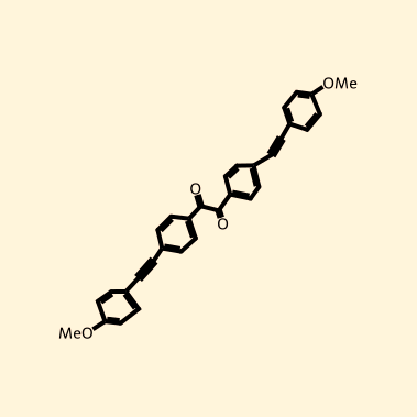 COc1ccc(C#Cc2ccc(C(=O)C(=O)c3ccc(C#Cc4ccc(OC)cc4)cc3)cc2)cc1